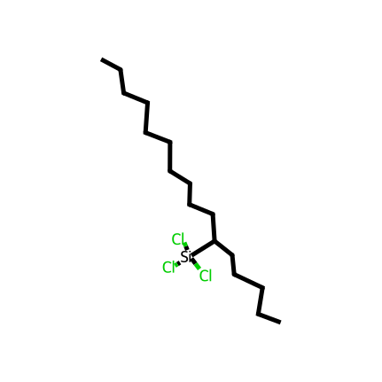 CCCCCCCCCCC(CCCCC)[Si](Cl)(Cl)Cl